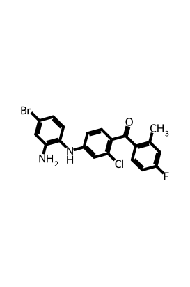 Cc1cc(F)ccc1C(=O)c1ccc(Nc2ccc(Br)cc2N)cc1Cl